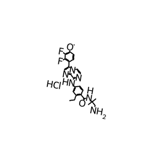 CCc1cc(Nc2nccn3c(-c4ccc(OC)c(F)c4F)cnc23)ccc1C(=O)NC(C)(C)CN.Cl